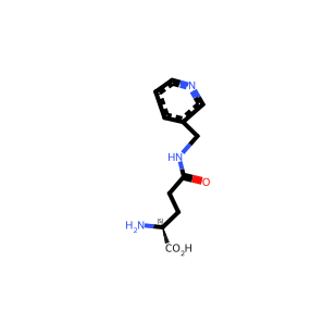 N[C@@H](CCC(=O)NCc1cccnc1)C(=O)O